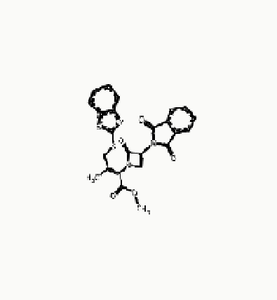 COC(=O)C(=C(C)CSc1nc2ccccc2s1)N1CC(N2C(=O)c3ccccc3C2=O)C1=O